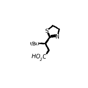 CC(C)(C)C(CC(=O)O)C1=NCCS1